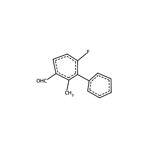 Cc1c(C=O)ccc(F)c1-c1ccccc1